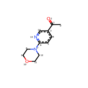 CC(=O)c1ccc(N2CCOCC2)nc1